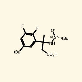 CC(C)(C)c1cc(F)c(F)c(C(C)(CC(=O)O)N[S@+]([O-])C(C)(C)C)c1